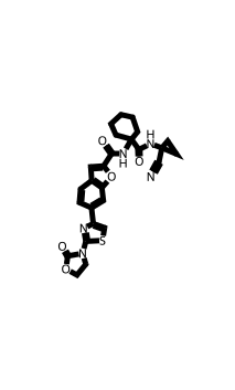 N#CC1(NC(=O)C2(NC(=O)c3cc4ccc(-c5csc(N6CCOC6=O)n5)cc4o3)CCCCC2)CC1